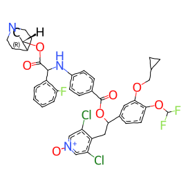 O=C(OC(Cc1c(Cl)c[n+]([O-])cc1Cl)c1ccc(OC(F)F)c(OCC2CC2)c1)c1ccc(NC(C(=O)O[C@H]2CN3CCC2CC3)c2ccccc2F)cc1